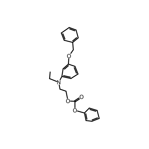 CCN(CCOC(=O)Oc1ccccc1)c1cccc(OCc2ccccc2)c1